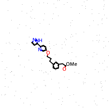 COC(=O)Cc1cccc(CCCOc2ccc(-c3ccn[nH]3)nc2)c1